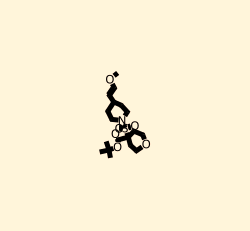 COC=CC1CCN(S(=O)(=O)C2(C(=O)OC(C)(C)C)CCOCC2)CC1